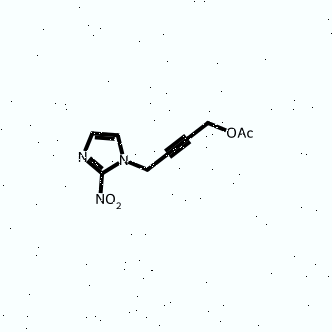 CC(=O)OCC#CCn1ccnc1[N+](=O)[O-]